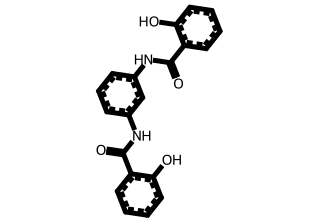 O=C(Nc1cccc(NC(=O)c2ccccc2O)c1)c1ccccc1O